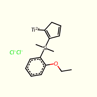 CCOc1ccccc1[Si](C)(C)C1=[C]([Ti+2])CC=C1.[Cl-].[Cl-]